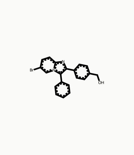 OCc1ccc(-c2nc3ccc(Br)cn3c2-c2ccccc2)cc1